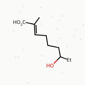 CCC(O)CCCC=C(C)C(=O)O